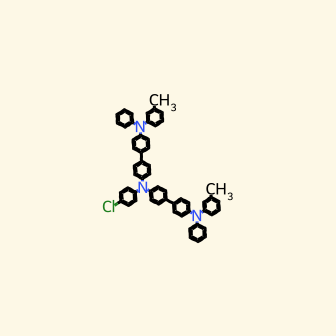 Cc1cccc(N(c2ccccc2)c2ccc(-c3ccc(N(c4ccc(Cl)cc4)c4ccc(-c5ccc(N(c6ccccc6)c6cccc(C)c6)cc5)cc4)cc3)cc2)c1